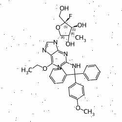 CCOc1nc(NC(c2ccccc2)(c2ccccc2)c2ccc(OC)cc2)nc2c1ncn2[C@@H]1O[C@](F)(CO)[C@@H](O)[C@@]1(C)O